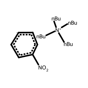 CCCC[N+](CCCC)(CCCC)CCCC.O=[N+]([O-])c1cc[c]cc1